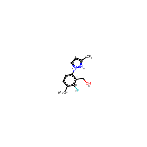 COc1ccc(-n2ccc(C(F)(F)F)n2)c(CO)c1F